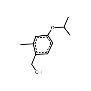 Cc1cc(OC(C)C)ccc1CO